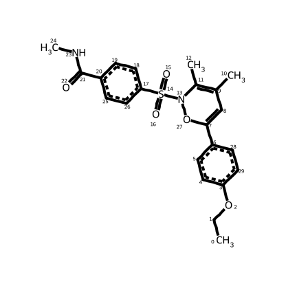 CCOc1ccc(C2=CC(C)=C(C)N(S(=O)(=O)c3ccc(C(=O)NC)cc3)O2)cc1